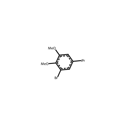 COc1cc(C(C)C)cc(Br)c1OC